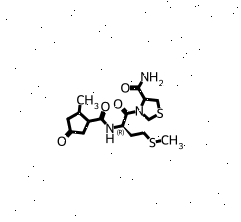 CSCC[C@@H](NC(=O)C1CC(=O)CC1C)C(=O)N1CSCC1C(N)=O